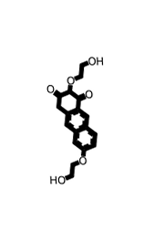 O=C1Cc2cc3cc(OCCO)ccc3cc2C(=O)C1OCCO